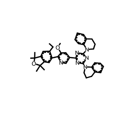 CCc1cc2c(cc1-c1ncc(-c3nc(N4CCCc5ccccc54)nc(N4CCCc5ccccc54)n3)cc1OC)C(C)(C)OC2(C)C